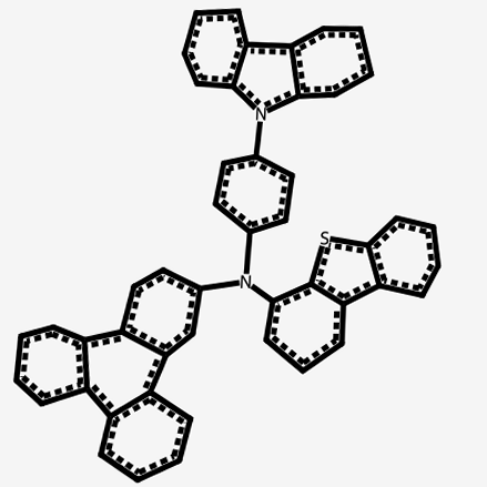 c1ccc2c(c1)sc1c(N(c3ccc(-n4c5ccccc5c5ccccc54)cc3)c3ccc4c5ccccc5c5ccccc5c4c3)cccc12